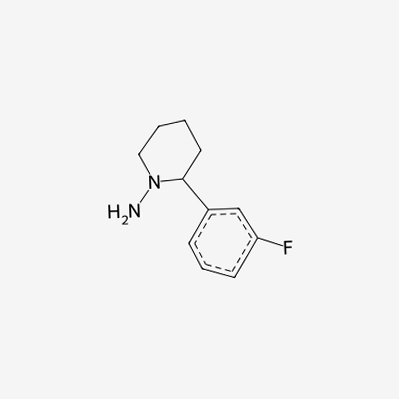 NN1CCCCC1c1cccc(F)c1